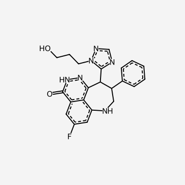 O=c1[nH]nc2c3c(cc(F)cc13)NCC(c1ccccc1)C2c1ncnn1CCCO